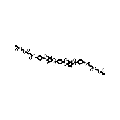 C=CC(=O)OCCOC(=O)CCC(=O)OCC1CCC(C(=O)Oc2c(C)cc(OC(=O)C3CCC(C(=O)Oc4cc(C)c(OC(=O)C5CCC(COC(=O)CCC(=O)OCCOC(=O)C=C)CC5)c(C)c4C)CC3)c(C)c2C)CC1